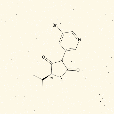 CC(C)[C@@H]1NC(=O)N(c2cncc(Br)c2)C1=O